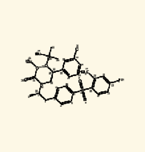 C[C@H](Cc1ccc(S(=O)(=O)c2ccc(F)cc2C(=O)O)cc1)N(C[C@@H](O[Si](C)(C)C(C)(C)C)c1cccc(Cl)c1)C(=O)OC(C)(C)C